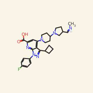 C/N=C\C1CCN(C2CCN(c3cc(C(=O)O)nc4c3c(C3CCC3)nn4-c3ccc(F)cc3)CC2)C1